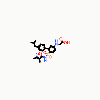 Cc1noc(NS(=O)(=O)c2ccc(NCC(=O)O)cc2-c2ccc(CC(C)C)cc2)c1C